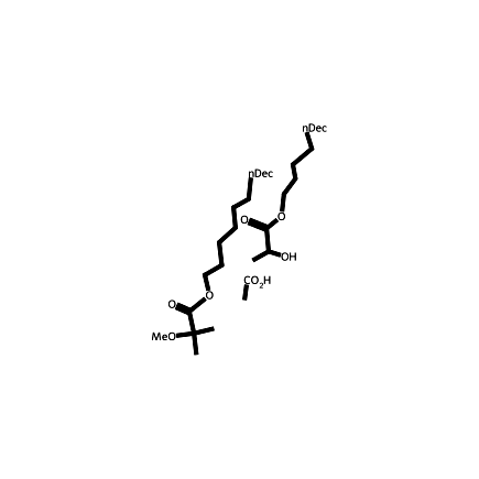 CC(=O)O.CCCCCCCCCCCCCCCCOC(=O)C(C)(C)OC.CCCCCCCCCCCCCCOC(=O)C(C)O